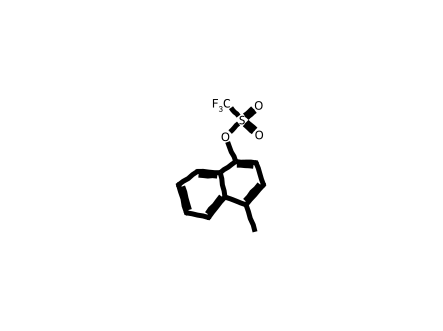 Cc1ccc(OS(=O)(=O)C(F)(F)F)c2ccccc12